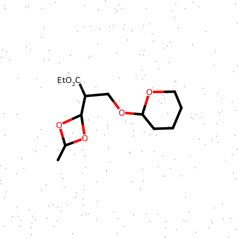 CCOC(=O)C(COC1CCCCO1)C1OC(C)O1